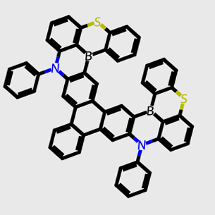 c1ccc(N2c3cc4c5ccccc5c5cc6c(cc5c4cc3B3c4ccccc4Sc4cccc2c43)B2c3ccccc3Sc3cccc(c32)N6c2ccccc2)cc1